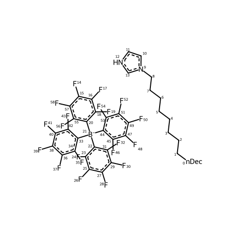 CCCCCCCCCCCCCCCCCCn1cc[nH+]c1.Fc1c(F)c(F)c([B-](c2c(F)c(F)c(F)c(F)c2F)(c2c(F)c(F)c(F)c(F)c2F)c2c(F)c(F)c(F)c(F)c2F)c(F)c1F